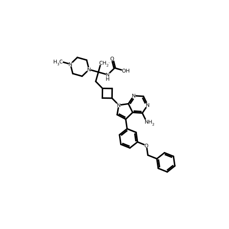 [CH2]C(CC1CC(n2cc(-c3cccc(OCc4ccccc4)c3)c3c(N)ncnc32)C1)(NC(=O)O)N1CCN(C)CC1